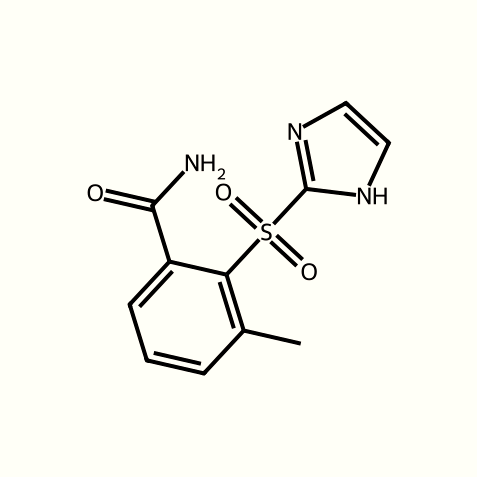 Cc1cccc(C(N)=O)c1S(=O)(=O)c1ncc[nH]1